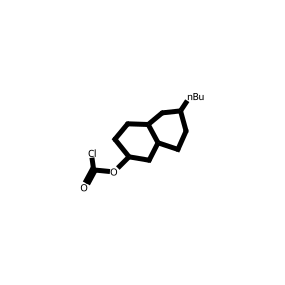 CCCCC1CCC2CC(OC(=O)Cl)CCC2C1